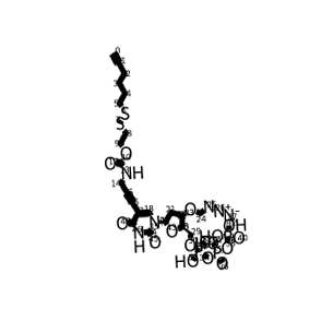 C#CCCCCSSCCOC(=O)NCC#Cc1cn([C@H]2C[C@@H](OCN=[N+]=[N-])[C@@H](COP(=O)(O)OP(=O)(O)OP(=O)(O)O)O2)c(=O)[nH]c1=O